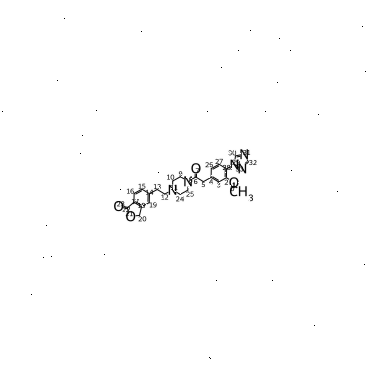 COc1cc(CC(=O)N2CCN(CCc3ccc4c(c3)COC4=O)CC2)ccc1-n1cncn1